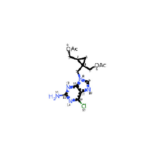 CC(=O)OCC1CC1(COC(C)=O)Cn1cnc2c(Cl)nc(N)nc21